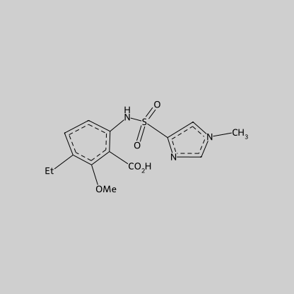 CCc1ccc(NS(=O)(=O)c2cn(C)cn2)c(C(=O)O)c1OC